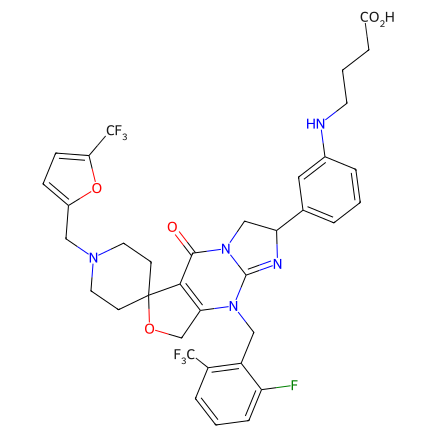 O=C(O)CCCNc1cccc(C2CN3C(=O)C4=C(COC45CCN(Cc4ccc(C(F)(F)F)o4)CC5)N(Cc4c(F)cccc4C(F)(F)F)C3=N2)c1